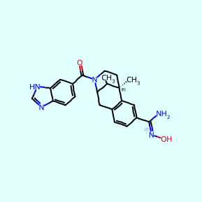 CC1C2Cc3ccc(/C(N)=N/O)cc3[C@]1(C)CCN2C(=O)c1ccc2nc[nH]c2c1